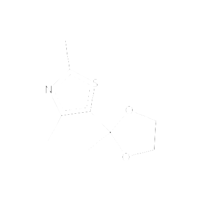 Cc1nc(C)c(C2(C)OCCO2)s1